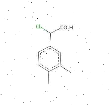 Cc1ccc(C(Cl)C(=O)O)cc1C